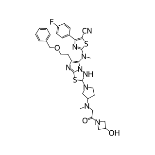 CN(c1nc(-c2ccc(F)cc2)c(C#N)s1)c1c(CCOCc2ccccc2)nc2n1NC(N1CCC(N(C)CC(=O)N3CC(O)C3)C1)S2